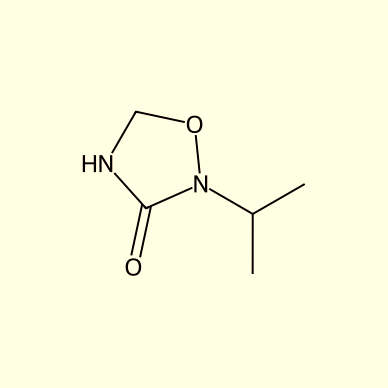 CC(C)N1OCNC1=O